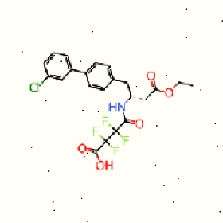 CCOC(=O)C[C@@H](Cc1ccc(-c2cccc(Cl)c2)cc1)NC(=O)C(F)(F)C(F)(F)C(=O)O